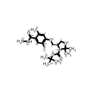 Cc1cc(OC[C@H]2COC(C)(C)N2C(=O)OC(C)(C)C)c(F)cc1C(=O)NN